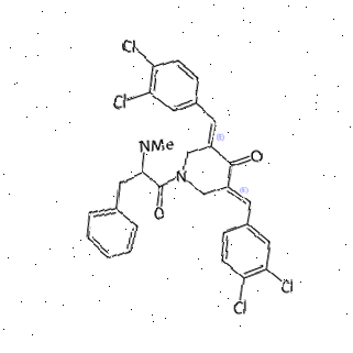 CNC(Cc1ccccc1)C(=O)N1C/C(=C\c2ccc(Cl)c(Cl)c2)C(=O)/C(=C/c2ccc(Cl)c(Cl)c2)C1